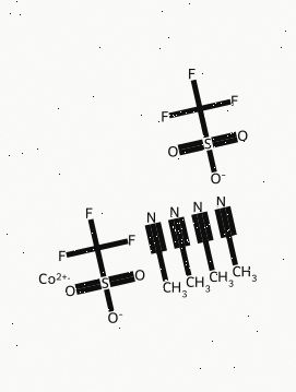 CC#N.CC#N.CC#N.CC#N.O=S(=O)([O-])C(F)(F)F.O=S(=O)([O-])C(F)(F)F.[Co+2]